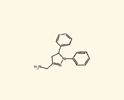 NCC1=NN(c2ccccc2)C(c2ccccc2)C1